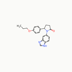 CCCOc1ccc(C2CCC(=O)N2c2ccc3[nH]cnc3c2)cc1